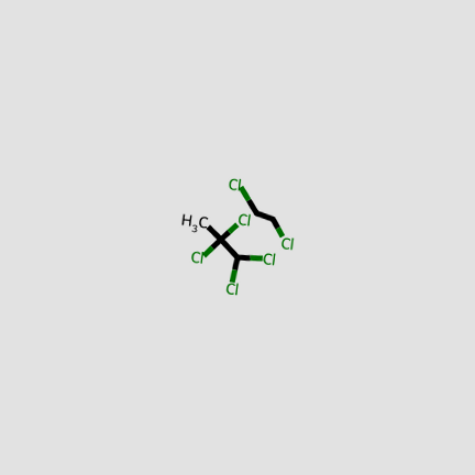 CC(Cl)(Cl)C(Cl)Cl.ClCCCl